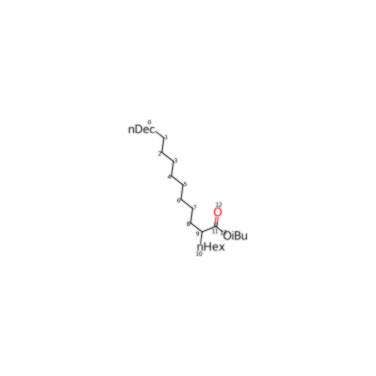 CCCCCCCCCCCCCCCCCCC(CCCCCC)C(=O)OCC(C)C